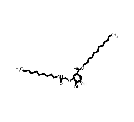 CCCCCCCCCCCCOC(=O)c1cc(O)c(O)c(OCC(=O)NCCCCCCCCCC)c1